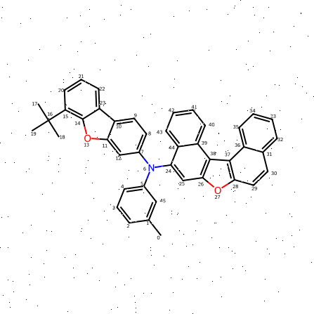 Cc1cccc(N(c2ccc3c(c2)oc2c(C(C)(C)C)cccc23)c2cc3oc4ccc5ccccc5c4c3c3ccccc23)c1